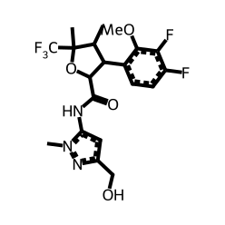 COc1c(C2C(C(=O)Nc3cc(CO)nn3C)OC(C)(C(F)(F)F)C2C)ccc(F)c1F